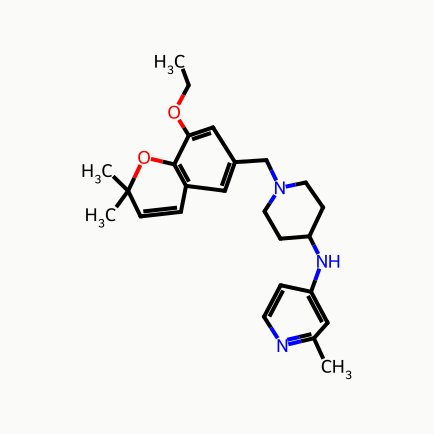 CCOc1cc(CN2CCC(Nc3ccnc(C)c3)CC2)cc2c1OC(C)(C)C=C2